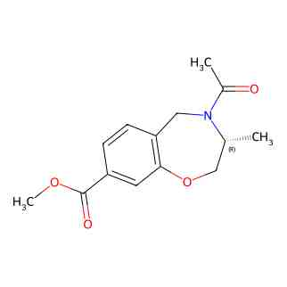 COC(=O)c1ccc2c(c1)OC[C@@H](C)N(C(C)=O)C2